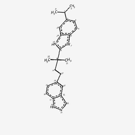 CC(C)c1ccc2nc(C(C)(C)CCc3ccc4[nH]ncc4c3)[nH]c2c1